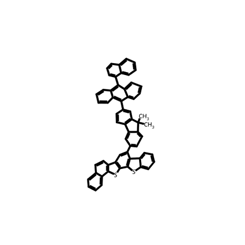 CC1(C)c2ccc(-c3cc4c5ccc6ccccc6c5sc4c4sc5ccccc5c34)cc2-c2ccc(-c3c4ccccc4c(-c4cccc5ccccc45)c4ccccc34)cc21